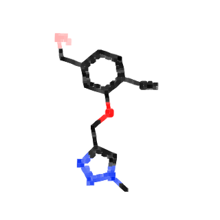 BCc1ccc(OC(C)=O)c(OCc2cn(C)nn2)c1